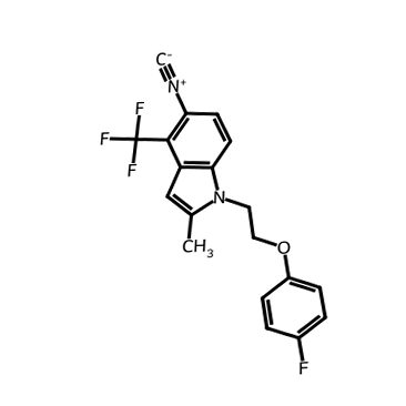 [C-]#[N+]c1ccc2c(cc(C)n2CCOc2ccc(F)cc2)c1C(F)(F)F